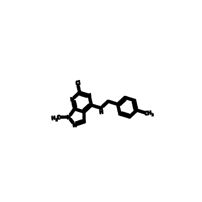 Cc1ccc(CNc2nc(Cl)nc3c2cnn3C)cc1